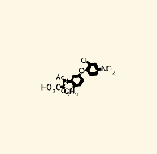 CC(=O)N(c1cc(Oc2ccc([N+](=O)[O-])cc2Cl)ccc1[N+](=O)[O-])C(C)C(=O)O